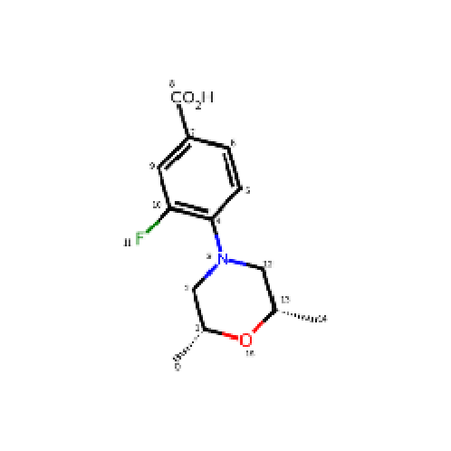 C[C@@H]1CN(c2ccc(C(=O)O)cc2F)C[C@H](C)O1